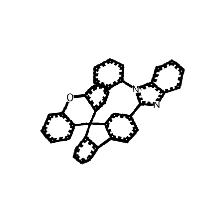 c1ccc(-n2c(-c3ccc4c(c3)C3(c5ccccc5Oc5ccccc53)c3ccccc3-4)nc3ccccc32)cc1